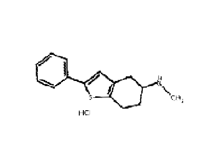 CNC1CCc2sc(-c3ccccc3)cc2C1.Cl